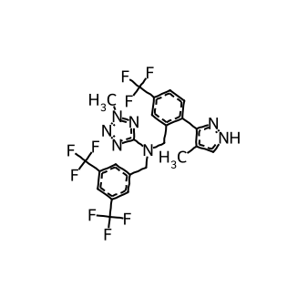 Cc1c[nH]nc1-c1ccc(C(F)(F)F)cc1CN(Cc1cc(C(F)(F)F)cc(C(F)(F)F)c1)c1nnn(C)n1